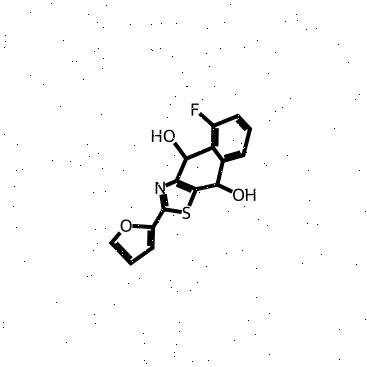 OC1c2cccc(F)c2C(O)c2nc(-c3ccco3)sc21